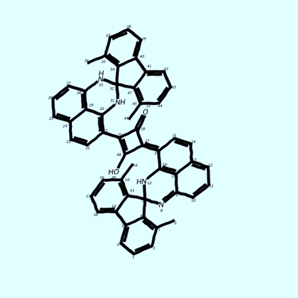 Cc1cccc2c1C1(N=c3cccc4cc/c(=C5\C(=O)C(c6ccc7cccc8c7c6NC6(N8)c7c(C)cccc7-c7cccc(C)c76)=C5O)c(c34)N1)c1c(C)cccc1-2